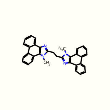 Cn1c(CCc2nc3c4ccccc4c4ccccc4c3n2C)nc2c3ccccc3c3ccccc3c21